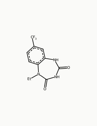 CCN1C(=O)NC(=O)Nc2cc(C(F)(F)F)ccc21